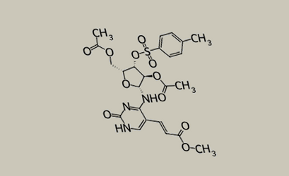 COC(=O)C=Cc1c[nH]c(=O)nc1N[C@@H]1O[C@H](COC(C)=O)[C@H](OS(=O)(=O)c2ccc(C)cc2)[C@H]1OC(C)=O